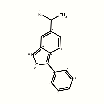 CC(Br)c1ccc2c(-c3ccccc3)onc2c1